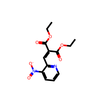 CCOC(=O)C(=Cc1ncccc1[N+](=O)[O-])C(=O)OCC